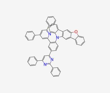 c1ccc(-c2cc(-c3ccccc3)nc(-c3cc(-c4cc(-c5ccccc5)nc(-c5ccccc5)n4)ccc3-n3c4ccccc4c4cc5oc6ccccc6c5cc43)c2)cc1